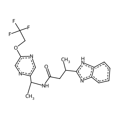 CC(CC(=O)NC(C)c1cnc(OCC(F)(F)F)cn1)c1nc2ccccc2[nH]1